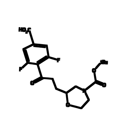 CC(C)(C)OC(=O)N1CCOC(CCC(=O)c2c(F)cc(C(=O)O)cc2F)C1